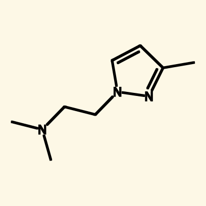 Cc1ccn(CCN(C)C)n1